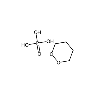 C1CCOOC1.O=P(O)(O)O